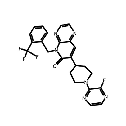 O=c1c(C2CCN(c3nccnc3F)CC2)cc2nccnc2n1Cc1ccccc1C(F)(F)F